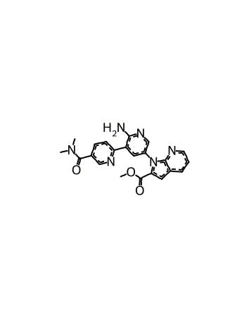 COC(=O)c1cc2cccnc2n1-c1cnc(N)c(-c2ccc(C(=O)N(C)C)cn2)c1